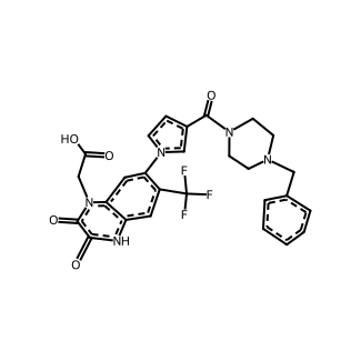 O=C(O)Cn1c(=O)c(=O)[nH]c2cc(C(F)(F)F)c(-n3ccc(C(=O)N4CCN(Cc5ccccc5)CC4)c3)cc21